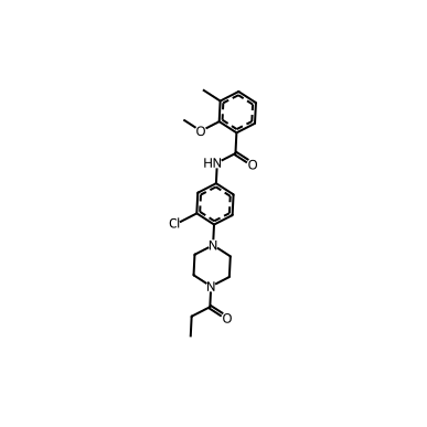 CCC(=O)N1CCN(c2ccc(NC(=O)c3cccc(C)c3OC)cc2Cl)CC1